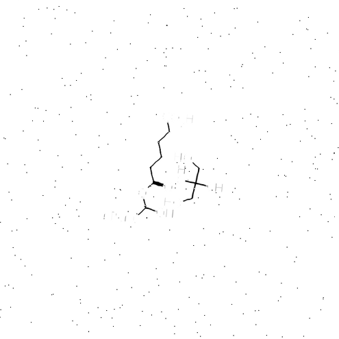 CC(C)(CO)CO.CCCCCC(O)OC(=O)CCCCC(=O)O